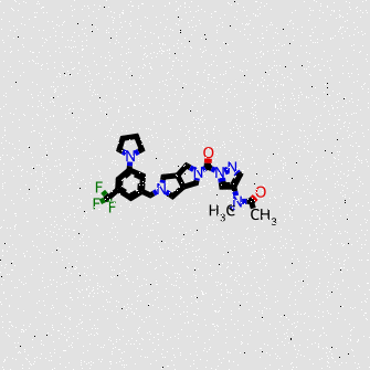 CC(=O)N(C)c1cnn(C(=O)N2CC3CN(Cc4cc(N5CCCC5)cc(C(F)(F)F)c4)CC3C2)c1